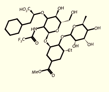 CC[C@@H]1CC(C(=O)OC)C[C@@H](O[C@@H]2O[C@@H](CO)[C@H](O)C(O[C@@H](CC3CCCCC3)C(=O)O)C2NC(=O)C(F)(F)F)C1OC1O[C@@H](C)C(O)[C@H](O)[C@@H]1O